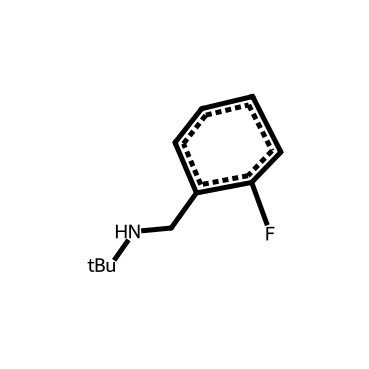 CC(C)(C)NCc1ccccc1F